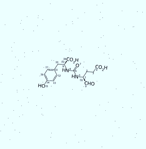 O=C[C@H](CCC(=O)O)NC(=O)N[C@@H](Cc1ccc(O)cc1)C(=O)O